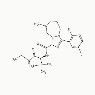 CCNC(=O)[C@@H](NC(=O)c1nc(-c2cc(Cl)ccc2F)n2c1CN(C)CCC2)C(C)(C)C